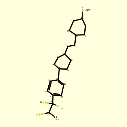 CCCCCC1CCC(CCC2CCC(c3ccc(C(F)(F)C(F)C(F)(F)F)cc3)CC2)CC1